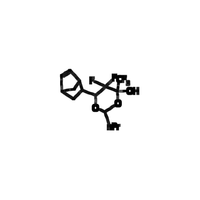 CCCC1OC(C2CC3C=CC2C3)C(F)(F)C(O)(C(F)(F)F)O1